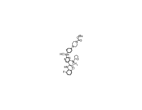 CN(c1nc(Nc2ccc(N3CCN(C(=O)OC(C)(C)C)CC3)cc2)ncc1C(=O)Nc1c(F)cccc1Cl)C1CCCO1.Cl